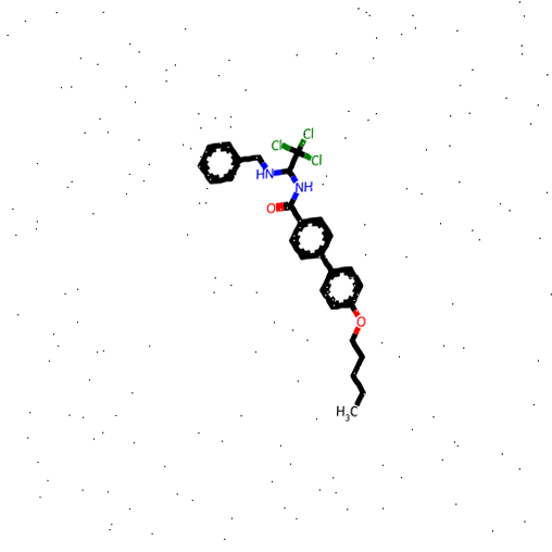 CCCCCOc1ccc(-c2ccc(C(=O)NC(NCc3ccccc3)C(Cl)(Cl)Cl)cc2)cc1